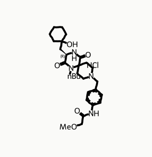 CCCCN1C(=O)[C@@H](CC2(O)CCCCC2)NC(=O)C12CCN(Cc1ccc(NC(=O)COC)cc1)CC2.Cl